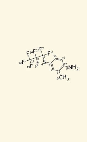 Cc1cc(SC(F)(F)C(F)(F)C(F)(F)F)ccc1N